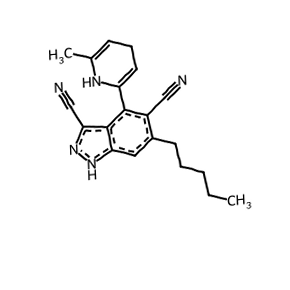 CCCCCc1cc2[nH]nc(C#N)c2c(C2=CCC=C(C)N2)c1C#N